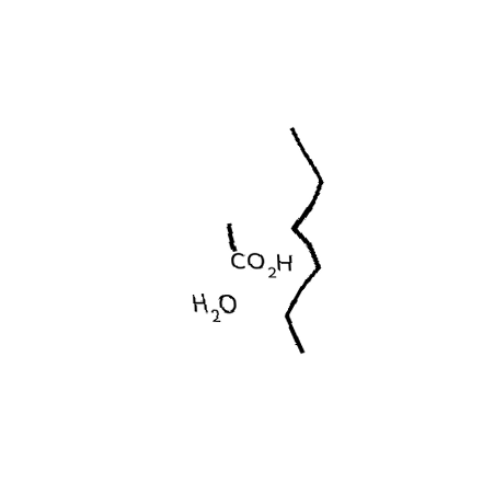 CC(=O)O.CCCCCC.O